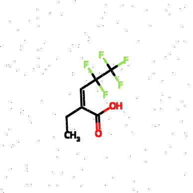 CCC(=CC(F)(F)C(F)(F)F)C(=O)O